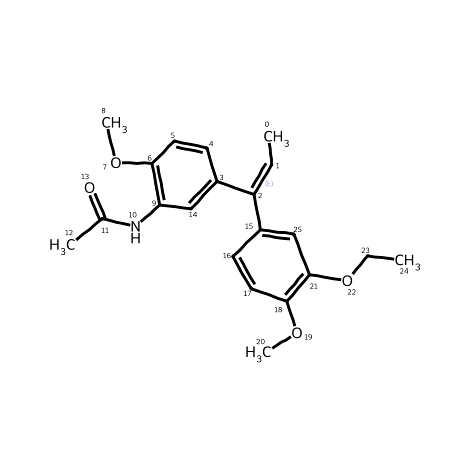 C/C=C(\c1ccc(OC)c(NC(C)=O)c1)c1ccc(OC)c(OCC)c1